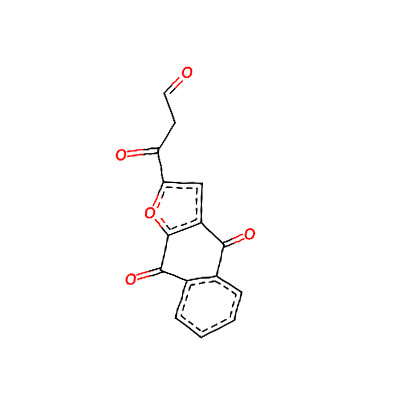 O=CCC(=O)c1cc2c(o1)C(=O)c1ccccc1C2=O